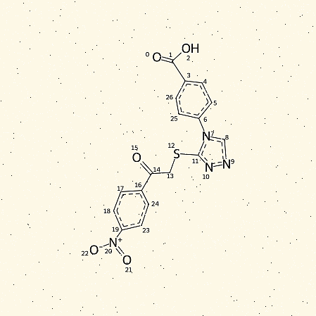 O=C(O)c1ccc(-n2cnnc2SCC(=O)c2ccc([N+](=O)[O-])cc2)cc1